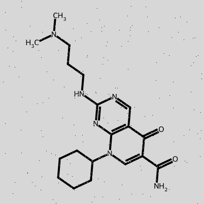 CN(C)CCCNc1ncc2c(=O)c(C(N)=O)cn(C3CCCCC3)c2n1